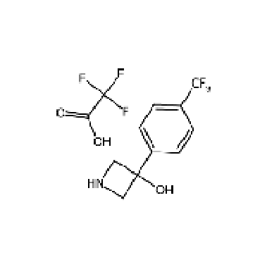 O=C(O)C(F)(F)F.OC1(c2ccc(C(F)(F)F)cc2)CNC1